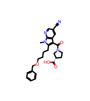 Cn1c(CCCCOCc2ccccc2)c(C(=O)N2CC[C@H](C(=O)O)C2)c2cc(C#N)cnc21